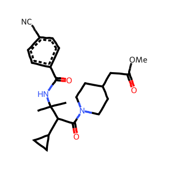 COC(=O)CC1CCN(C(=O)C(C2CC2)C(C)(C)NC(=O)c2ccc(C#N)cc2)CC1